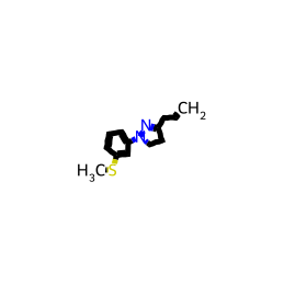 C=CCC1=NN(c2cccc(SC)c2)CC1